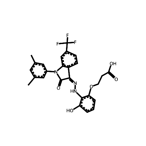 Cc1cc(C)cc(N2C(=O)C(=NNc3c(O)cccc3OCCC(=O)O)c3ccc(C(F)(F)F)cc32)c1